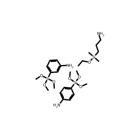 CCO[Si](C)(C)CCCN.CO[Si](OC)(OC)c1ccc(N)cc1.CO[Si](OC)(OC)c1cccc(N)c1